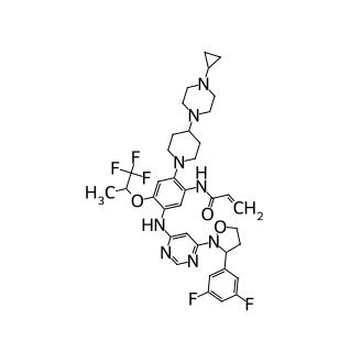 C=CC(=O)Nc1cc(Nc2cc(N3OCCC3c3cc(F)cc(F)c3)ncn2)c(OC(C)C(F)(F)F)cc1N1CCC(N2CCN(C3CC3)CC2)CC1